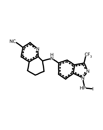 N#Cc1cnc2c(c1)CCCC2Nc1ccc2c(c1)c(C(F)(F)F)nn2PI